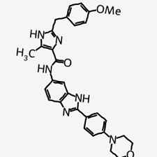 COc1ccc(Cc2nc(C(=O)Nc3ccc4nc(-c5ccc(N6CCOCC6)cc5)[nH]c4c3)c(C)[nH]2)cc1